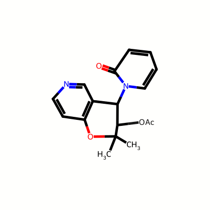 CC(=O)OC1C(n2ccccc2=O)c2cnccc2OC1(C)C